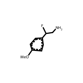 COc1ccc(C(F)CN)cc1